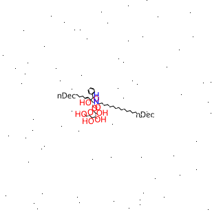 CCCCCCCCCCCCC/C=C/[C@@](O)(C(=O)c1ccccc1)[C@@H](COC1O[C@H](CO)[C@@H](O)[C@H](O)[C@H]1O)NC(=O)CCCCCCCCCCCCCCCCCCCCCCC